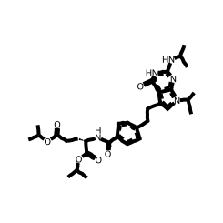 CC(C)Nc1nc2c(c(CCc3ccc(C(=O)N[C@@H](CCC(=O)OC(C)C)C(=O)OC(C)C)cc3)cn2C(C)C)c(=O)[nH]1